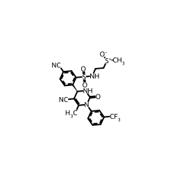 CC1=C(C#N)[C@@H](c2ccc(C#N)cc2S(=O)(=O)NCC[S+](C)[O-])NC(=O)N1c1cccc(C(F)(F)F)c1